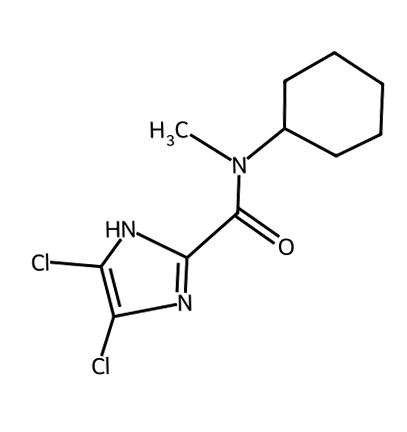 CN(C(=O)c1nc(Cl)c(Cl)[nH]1)C1CCCCC1